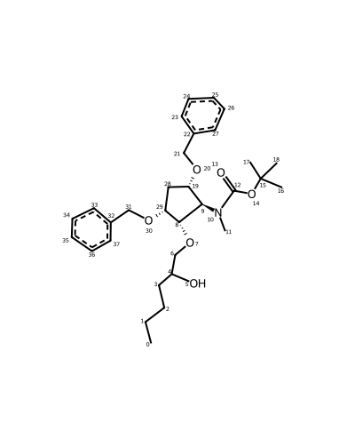 CCCCC(O)CO[C@H]1[C@H](N(C)C(=O)OC(C)(C)C)[C@@H](OCc2ccccc2)C[C@H]1OCc1ccccc1